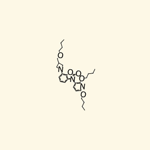 CCCCOCC1CN(c2cccc3c2oc(=O)n3-c2ccc(OCCCC)nc2OCCCC)C1